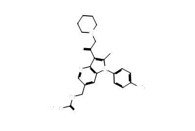 CNC(=O)NCc1cnc2c(C(=O)CN3CCCCC3)c(C)n(-c3ccc(C#N)cc3)c2c1